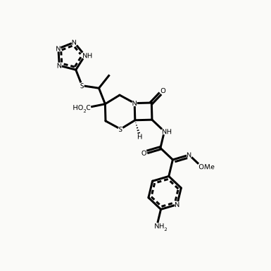 CON=C(C(=O)NC1C(=O)N2CC(C(=O)O)(C(C)Sc3nnn[nH]3)CS[C@H]12)c1ccc(N)nc1